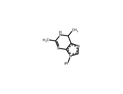 CC1=Nc2c(ncn2C(C)C)C(C)N1